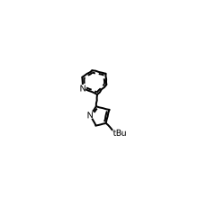 CC(C)(C)C1=CC(c2ccccn2)=NC1